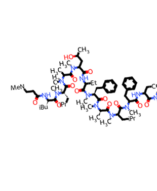 CCC(NC(=O)C(CC(C)O)N(C)C(=O)C(C)N(C)C(=O)[C@H](CC(C)C)N(C)C(=O)C(NC(=O)CCNC)[C@@H](C)CC)C(=O)N(C)[C@@H](Cc1ccccc1)C(=O)N(C)[C@@H](C)C(=O)N(C)C(CC(C)C)C(=O)N(C)C(Cc1ccccc1)C(=O)NC(CC(=O)O)C(=O)N1CCCCC1